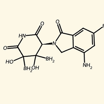 BC1(O)C(=O)NC(=O)[C@@H](N2Cc3c(N)cc(F)cc3C2=O)C1(B)O